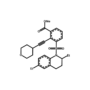 CCc1ccc2c(c1)CCC(CC)N2S(=O)(=O)c1cccc(C(=O)OC)c1C#CC1CCOCC1